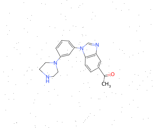 CC(=O)c1ccc2c(c1)ncn2-c1cccc(N2CCNCC2)c1